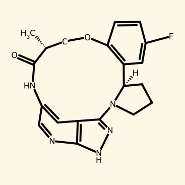 C[C@@H]1COc2ccc(F)cc2[C@H]2CCCN2c2n[nH]c3ncc(cc23)NC1=O